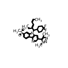 C=C/C(=C\C=C/C)C(C1CCC(F)(F)CC1)n1c2cc(S(C)(=O)=O)ccc2c2ncc(-c3c(C)nnn3C)cc21